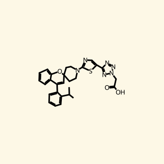 CC(C)c1ccccc1C1=CC2(CCN(c3ncc(-c4nnn(CC(=O)O)n4)s3)CC2)Oc2ccccc21